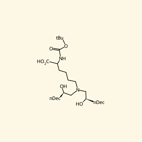 CCCCCCCCCC[C@@H](O)CN(CCCCC(NC(=O)OC(C)(C)C)C(=O)O)C[C@H](O)CCCCCCCCCC